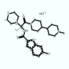 CN1CCC(C2CCN(C(=O)[C@@](C)(NC(=O)c3cc4ccc(Cl)cc4s3)N3CCOCC3)CC2)CC1.Cl